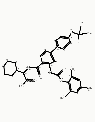 Cc1cc(C)c(NC(=O)Nc2cc(-c3ccc(OC(F)(F)F)cc3)ccc2C(=O)NC(C(=O)O)C2CCCCC2)c(C)c1